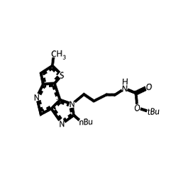 CCCCc1nc2cnc3cc(C)sc3c2n1CCCCNC(=O)OC(C)(C)C